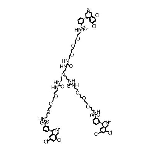 CN1Cc2c(Cl)cc(Cl)cc2[C@H](c2cccc([S+]([O-])NCCOCCOCCOCCNC(=O)NCCN(CCNC(=O)NCCOCCOCCOCCNS(=O)(=O)c3cccc([C@@H]4CN(C)Cc5c(Cl)cc(Cl)cc54)c3)CCNC(=O)NCCOCCOCCOCCNS(=O)(=O)c3cccc([C@@H]4CN(C)Cc5c(Cl)cc(Cl)cc54)c3)c2)C1